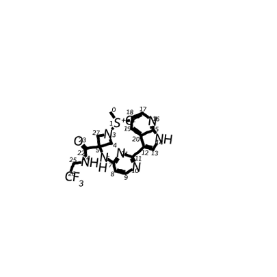 C[S+]([O-])N1CC(Nc2ccnc(-c3c[nH]c4ncccc34)n2)(C(=O)NCC(F)(F)F)C1